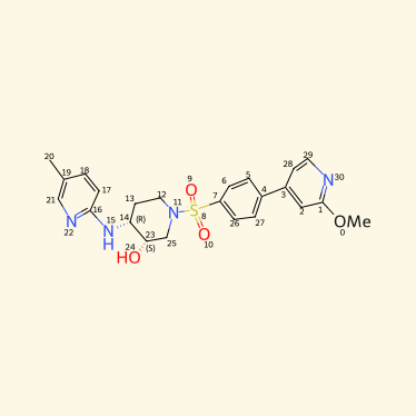 COc1cc(-c2ccc(S(=O)(=O)N3CC[C@@H](Nc4ccc(C)cn4)[C@@H](O)C3)cc2)ccn1